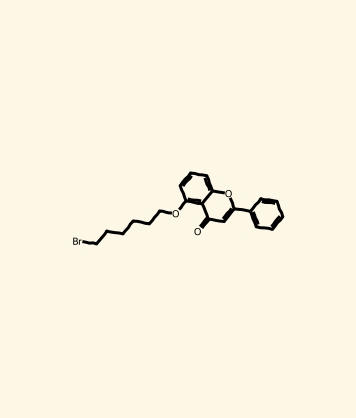 O=c1cc(-c2ccccc2)oc2cccc(OCCCCCCBr)c12